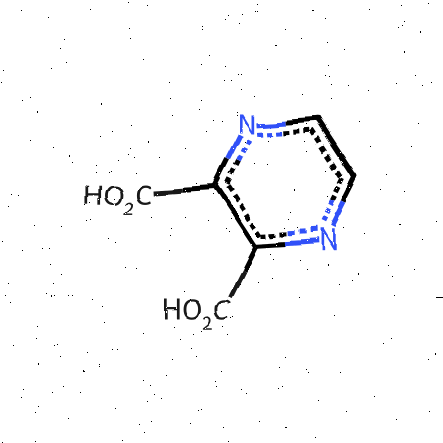 O=C(O)c1nccnc1C(=O)O